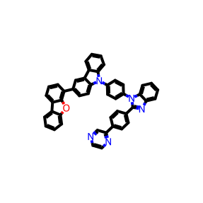 c1ccc2c(c1)nc(-c1ccc(-c3cnccn3)cc1)n2-c1ccc(-n2c3ccccc3c3cc(-c4cccc5c4oc4ccccc45)ccc32)cc1